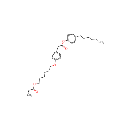 C=CC(=O)OCCCCCCOc1ccc(CC(=O)Oc2ccc(CCCCCC)cc2)cc1